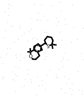 CC1(C)CCCCC(c2ccc3c(c2)CCCOC3(C)C)S1